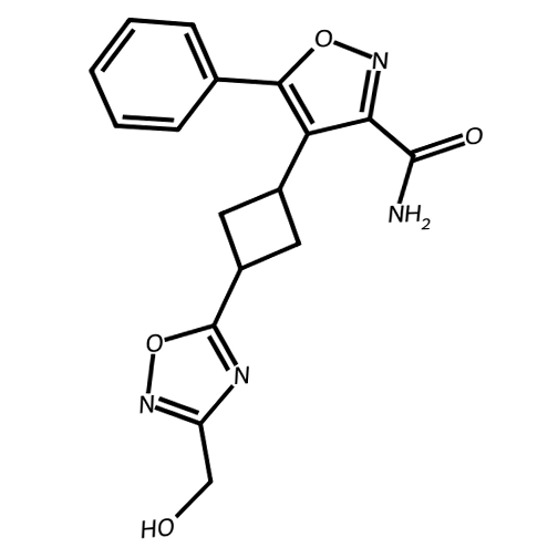 NC(=O)c1noc(-c2ccccc2)c1C1CC(c2nc(CO)no2)C1